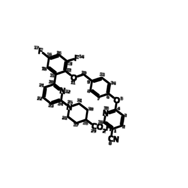 N#Cc1ccc(Oc2ccc(COc3c(F)cc(F)cc3-c3cccc(N4CCC(C(=O)O)CC4)n3)cc2)nc1